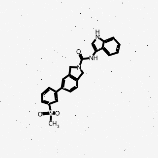 CS(=O)(=O)c1cccc(-c2ccc3c(c2)CN(C(=O)Nc2c[nH]c4ccccc24)C3)c1